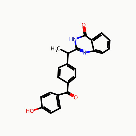 CC(c1ccc(C(=O)c2ccc(O)cc2)cc1)c1nc2ccccc2c(=O)[nH]1